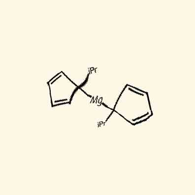 CC(C)[C]1([Mg][C]2(C(C)C)C=CC=C2)C=CC=C1